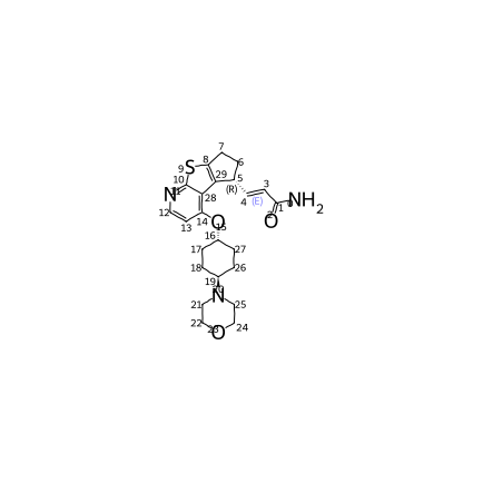 NC(=O)/C=C/[C@H]1CCc2sc3nccc(O[C@H]4CC[C@H](N5CCOCC5)CC4)c3c21